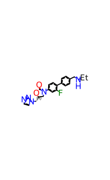 CCNCc1ccc(-c2ccc(N3C[C@H](Cn4ccnn4)OC3=O)cc2F)cc1